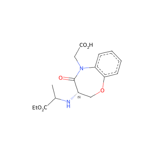 CCOC(=O)C(C)N[C@H]1COc2ccccc2N(CC(=O)O)C1=O